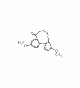 COc1ccc2c(c1)CCCCC(=O)c1cc(OC)ccc1-2